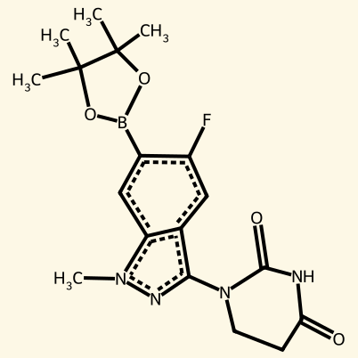 Cn1nc(N2CCC(=O)NC2=O)c2cc(F)c(B3OC(C)(C)C(C)(C)O3)cc21